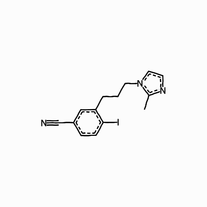 Cc1nccn1CCCc1cc(C#N)ccc1I